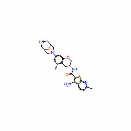 Cc1ccc2c(N)c(C(=O)N[C@H]3COc4cc(N5CC6CNCC(C5)O6)cc(F)c4C3)sc2n1